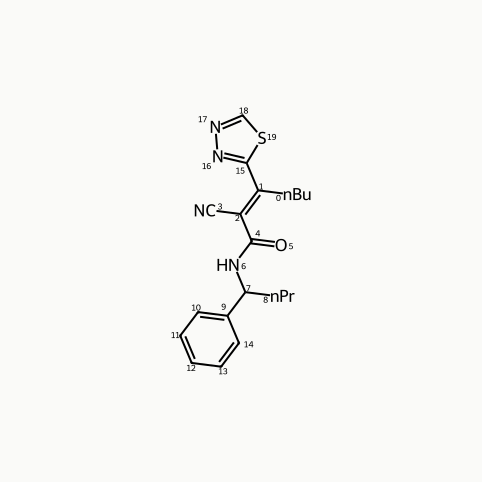 CCCC/C(=C(/C#N)C(=O)NC(CCC)c1ccccc1)c1nncs1